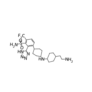 NCCC1CCC(NC2CCC(c3ccc(C(F)(F)F)c(S(N)(=O)=O)c3-c3nnn[nH]3)CC2)CC1